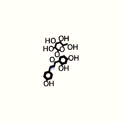 O=C(/C=C/c1ccc(O)cc1)c1c(O)cc(O)cc1OC1OC(CO)C(O)C(O)C1O